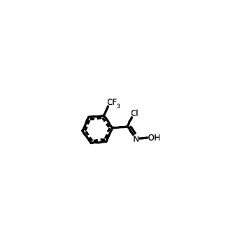 ON=C(Cl)c1ccccc1C(F)(F)F